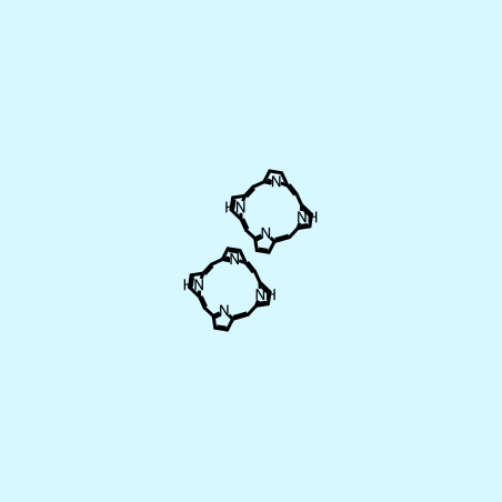 C1=Cc2cc3ccc(cc4nc(cc5ccc(cc1n2)[nH]5)C=C4)[nH]3.C1=Cc2cc3ccc(cc4nc(cc5ccc(cc1n2)[nH]5)CC4)[nH]3